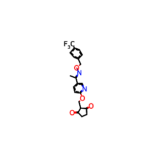 C/C(=N\OCc1ccc(C(F)(F)F)cc1)c1ccc(OCC2C(=O)CCC2=O)nc1